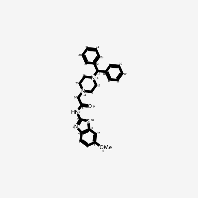 COc1ccc2nc(NC(=O)CN3CCN(C(c4ccccc4)c4ccccc4)CC3)sc2c1